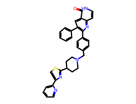 O=c1[nH]ccc2nc(-c3ccc(CN4CCC(c5nc(-c6ccccn6)cs5)CC4)cc3)c(-c3ccccc3)cc12